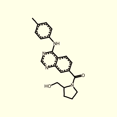 Cc1ccc(Nc2ncnc3cc(C(=O)N4CCCC4CO)ccc23)cc1